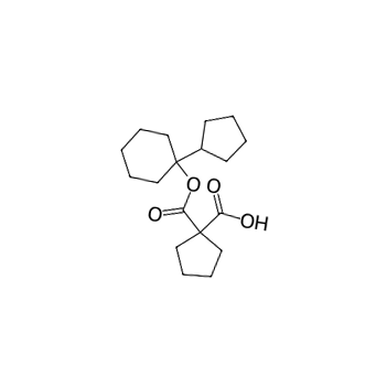 O=C(O)C1(C(=O)OC2(C3CCCC3)CCCCC2)CCCC1